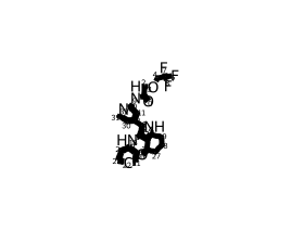 O=C(COCC(F)(F)F)Nc1cc(-c2[nH]c3c(c2Nc2ccccc2)C(=O)CCC3)ccn1